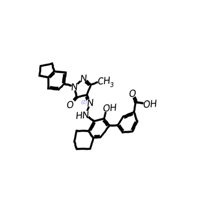 CC1=NN(c2ccc3c(c2)CCC3)C(=O)/C1=N\Nc1c(O)c(-c2cccc(C(=O)O)c2)cc2c1CCCC2